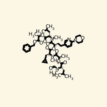 CC(C)C[C@@H](C(=O)O[C@H](C)C(=O)N(C)[C@@H](CC1CC1)C(=O)O[C@H](CCc1ccc(N2CCOCC2)nc1)C(=O)N(C)[C@@H](CC(C)C)C(=O)O[C@H](C)C(=O)OCc1ccccc1)N(C)C=O